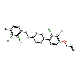 C=CCOc1ccc(C2CCC(CCc3ccc(C)c(F)c3F)CC2)c(F)c1F